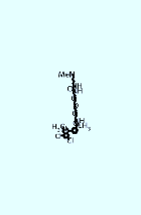 CNCCCCNC(=O)NCCOCCOCCOCCNOP(C)c1cccc(C2CN(C)Cc3c(Cl)cc(Cl)cc32)c1